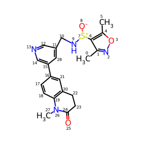 Cc1noc(C)c1[S+]([O-])NCc1cncc(-c2ccc3c(c2)CCC(=O)N3C)c1